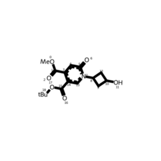 COC(=O)c1cc(=O)n(C2CC(O)C2)cc1C(=O)OC(C)(C)C